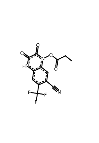 CCC(=O)On1c(=O)c(=O)[nH]c2cc(C(F)(F)F)c(C#N)cc21